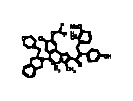 COc1cccc(CN(C(=O)c2cc(-c3cc(OC(F)F)c(Cl)cc3C(=O)N3Cc4ccccc4C[C@H]3CN3CCOCC3)n(C)c2C)c2ccc(O)cc2)c1C